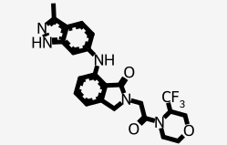 Cc1n[nH]c2cc(Nc3cccc4c3C(=O)N(CC(=O)N3CCOCC3C(F)(F)F)C4)ccc12